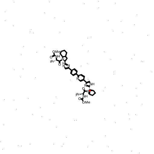 COC(=O)N[C@H](C(=O)N1C2CCC(C2)[C@H]1c1nc(-c2ccc(-c3ccc(-c4c[nH]c([C@@H]5CC6CCCCC6N5C(=O)[C@@H](NC(=O)OC)C(C)C)n4)cc3)nc2)c[nH]1)C(C)C